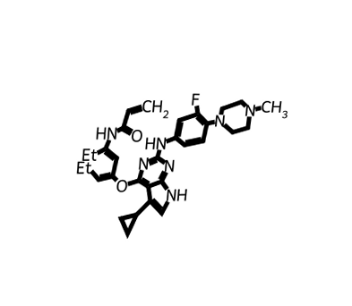 C=CC(=O)N/C(=C/C(=C\CC)Oc1nc(Nc2ccc(N3CCN(C)CC3)c(F)c2)nc2[nH]cc(C3CC3)c12)CC